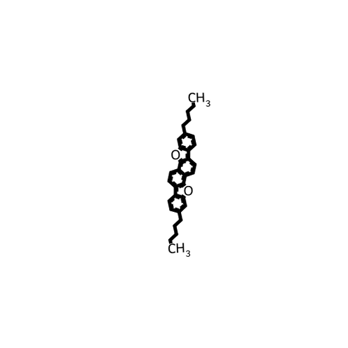 CCCCCc1ccc2c(c1)oc1c2ccc2c1ccc1c3ccc(CCCCC)cc3oc12